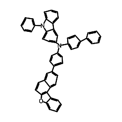 c1ccc(-c2ccc(N(c3ccc(-c4ccc5c(ccc6oc7ccccc7c65)c4)cc3)c3ccc4c(c3)c3ccccc3n4-c3ccccc3)cc2)cc1